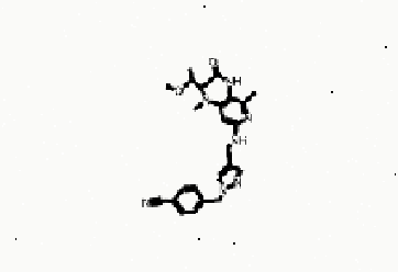 COC(C)C1C(=O)Nc2c(cc(NCc3cnn(Cc4ccc(C#N)cc4)c3)nc2C)N1C